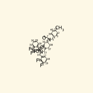 Cc1ccc(CN(C=O)C2CCC(CN(Cc3cccc(F)c3F)S(=O)(=O)c3ccccc3C(F)(F)F)CC2)cc1